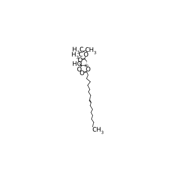 CCCCCCCCC=CCCCCCCCC(=O)O[C@@H](CC(=O)OC(C)(C)C)C(=O)O